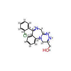 OCC1=NN=C2CN=C(c3ccccc3Cl)c3ccccc3N2C1